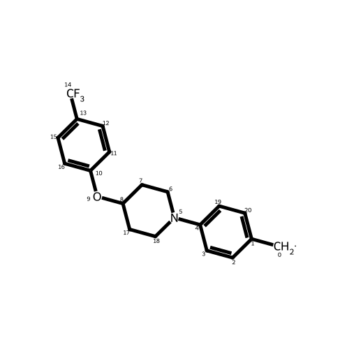 [CH2]c1ccc(N2CCC(Oc3ccc(C(F)(F)F)cc3)CC2)cc1